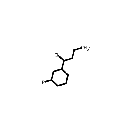 [CH2]CCC(Cl)[C]1CCCC(F)C1